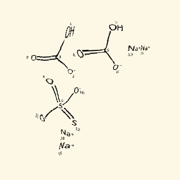 O=C([O-])O.O=C([O-])O.O=S([O-])([O-])=S.[Na+].[Na+].[Na+].[Na+]